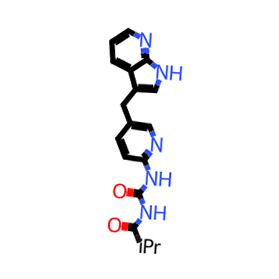 CC(C)C(=O)NC(=O)Nc1ccc(Cc2c[nH]c3ncccc23)cn1